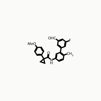 COc1ccc(C2(C(=O)Nc3ccc(C)c(-c4cc(F)cc(C=O)c4)c3)CC2)cc1